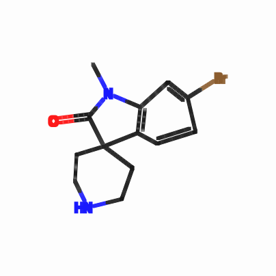 CN1C(=O)C2(CCNCC2)c2ccc(Br)cc21